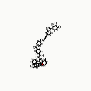 O=C1CCN(c2cnc3cc(C#CCOC4CCN(C(=O)c5ccc(NC(=O)[C@@H]6NC7(CCCCC7)[C@@]7(C(=O)Nc8cc(Cl)ccc87)[C@H]6c6cccc(Cl)c6F)cc5)CC4)ccn23)C(=O)N1